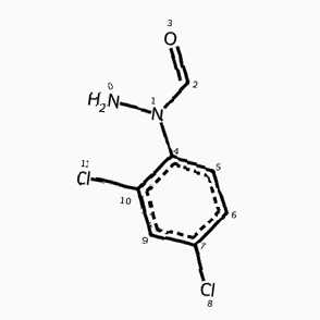 NN(C=O)c1ccc(Cl)cc1Cl